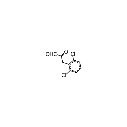 O=CC(=O)Cc1c(Cl)cccc1Cl